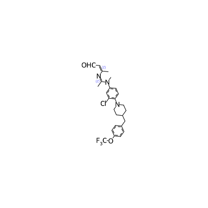 CC(=C/C=O)/N=C(/C)N(C)c1ccc(N2CCC(Cc3ccc(OC(F)(F)F)cc3)CC2)c(Cl)c1